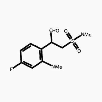 CNc1cc(F)ccc1C(C=O)CS(=O)(=O)NC